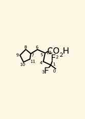 CC(F)(F)CC(CC1CCCC1)C(=O)O